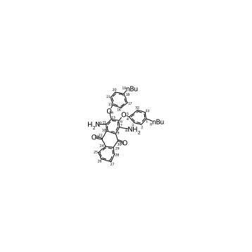 CCCCc1ccc(Oc2c(N)c3c(c(N)c2Oc2ccc(CCCC)cc2)C(=O)c2ccccc2C3=O)cc1